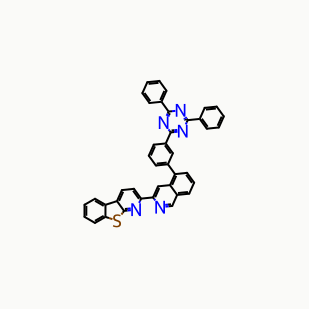 c1ccc(-c2nc(-c3ccccc3)nc(-c3cccc(-c4cccc5cnc(-c6ccc7c(n6)sc6ccccc67)cc45)c3)n2)cc1